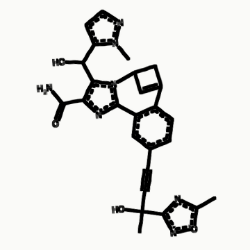 Cc1nc(C(C)(O)C#Cc2ccc3c(c2)-c2nc(C(N)=O)c(C(O)c4ccnn4C)n2C2C=C3C2)no1